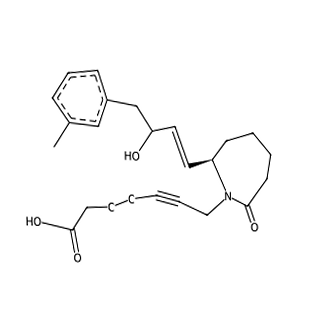 Cc1cccc(CC(O)/C=C/[C@H]2CCCCC(=O)N2CC#CCCCC(=O)O)c1